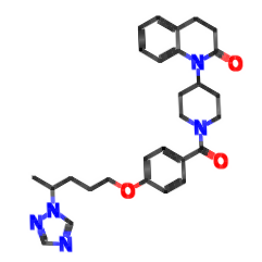 CC(CCCOc1ccc(C(=O)N2CCC(N3C(=O)CCc4ccccc43)CC2)cc1)n1cncn1